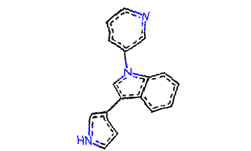 c1cncc(-n2cc(-c3cc[nH]c3)c3ccccc32)c1